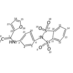 C=C(Nc1ccc(N2S(=O)(=O)c3ccccc3S2(=O)=O)cc1)c1ccco1